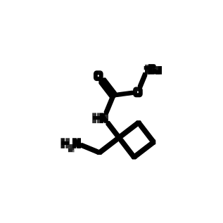 CC(C)(C)OC(=O)NC1(CN)CCC1